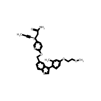 CC#C[C@@H](CC(N)=O)c1ccc(OCc2ccc3scc(-c4ccc(OCCOC)cc4C)c3c2)nc1